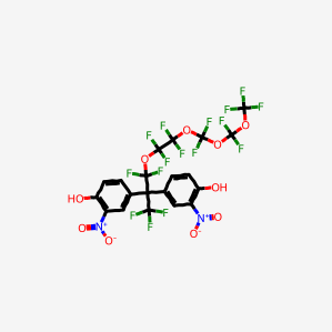 O=[N+]([O-])c1cc(C(c2ccc(O)c([N+](=O)[O-])c2)(C(F)(F)F)C(F)(F)OC(F)(F)C(F)(F)OC(F)(F)OC(F)(F)OC(F)(F)F)ccc1O